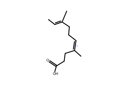 CC=C(C)CC/C=C(/C)CCC(=O)O